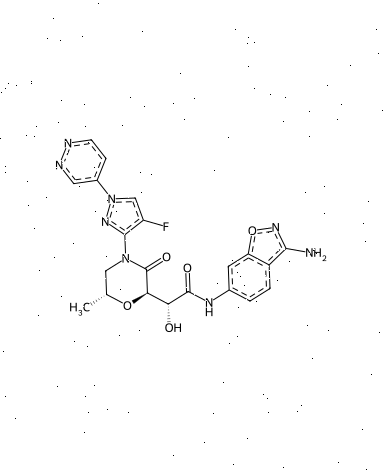 C[C@@H]1CN(c2nn(-c3ccnnc3)cc2F)C(=O)[C@@H]([C@@H](O)C(=O)Nc2ccc3c(N)noc3c2)O1